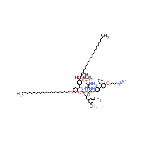 CCCCCCCCCCCCCCCCCCCCCCOc1ccc(C(NC(=O)[C@H](CCCc2cc(C)cc(C)c2)NC(=O)[C@H](Cc2ccc(-c3ccc(OCCCCN=[N+]=[N-])cc3CC)cc2)NC(=O)[C@@H](N)CC(=O)OC(C)(C)C)c2ccc(OCCCCCCCCCCCCCCCCCCCCCC)cc2)cc1